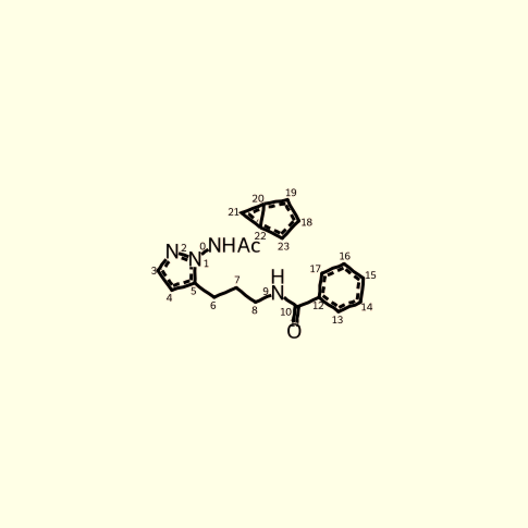 CC(=O)Nn1nccc1CCCNC(=O)c1ccccc1.c1cc2cc-2c1